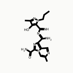 CCCn1nc(C)c(O)c1C(=N)/N=C(\N)c1nc(C(N)=O)n2cc(C)ncc12